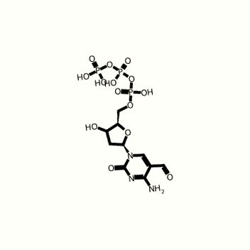 Nc1nc(=O)n([C@H]2CC(O)[C@@H](COP(=O)(O)OP(=O)(O)OP(=O)(O)O)O2)cc1C=O